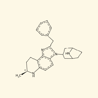 C[C@H]1CCc2c(ccc3c2nc(Cc2ccccc2)n3C2CC3CCC(C2)N3)N1